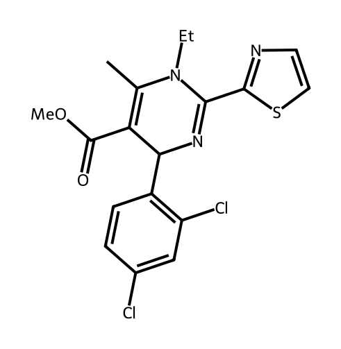 CCN1C(c2nccs2)=NC(c2ccc(Cl)cc2Cl)C(C(=O)OC)=C1C